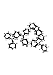 c1ccc(C2c3ccccc3-c3ccc(N(c4ccccc4)c4cccc(-c5ccc6c(c5)c5c7cc8c(cc7ccc5n6-c5ccccc5)sc5ccccc58)c4)cc32)cc1